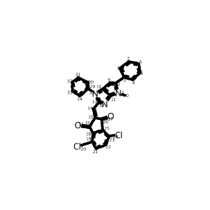 Cn1c(-c2ccccc2)cc2c1nc(C=C1C(=O)c3c(Cl)ccc(Cl)c3C1=O)n2-c1ccccc1